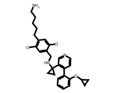 NCCCCCc1cc(Cl)c(CNC2(c3cnccc3-c3ccccc3OC3CC3)CC2)cc1Cl